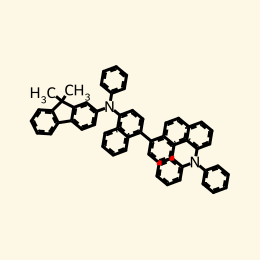 CC1(C)c2ccccc2-c2ccc(N(c3ccccc3)c3ccc(-c4cccc5c4ccc4cccc(N(c6ccccc6)c6ccccc6)c45)c4ccccc34)cc21